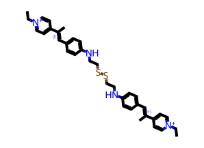 CC[n+]1ccc(/C(C)=C/c2ccc(NCCSSCCNc3ccc(/C=C(\C)c4cc[n+](CC)cc4)cc3)cc2)cc1